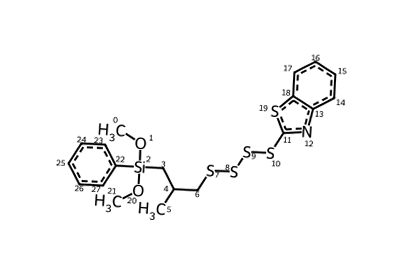 CO[Si](CC(C)CSSSSc1nc2ccccc2s1)(OC)c1ccccc1